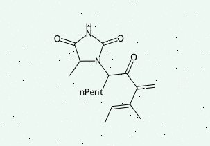 C=C(C(=O)C(CCCCC)N1C(=O)NC(=O)C1C)C(C)=CC